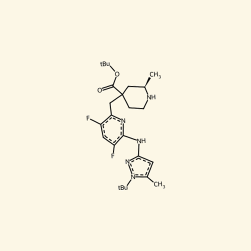 Cc1cc(Nc2nc(CC3(C(=O)OC(C)(C)C)CCN[C@H](C)C3)c(F)cc2F)nn1C(C)(C)C